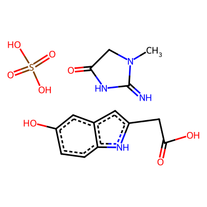 CN1CC(=O)NC1=N.O=C(O)Cc1cc2cc(O)ccc2[nH]1.O=S(=O)(O)O